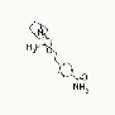 NC(=O)c1ccc(CCCCN2CC3CCC(C2)N3CC(=O)P)cc1